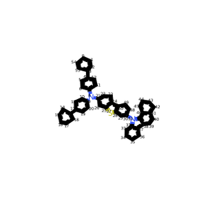 c1ccc(-c2ccc(N(c3ccc(-c4ccccc4)cc3)c3ccc4c(c3)sc3cc(-n5c6ccccc6c6ccc7ccccc7c65)ccc34)cc2)cc1